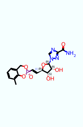 Cc1cccc2c1OP(=O)(/C=C/[C@H]1O[C@@H](n3cnc(C(N)=O)n3)[C@H](O)[C@@H]1O)OC2